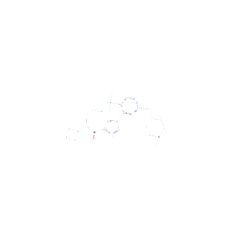 CC1(C)CCC(Nc2ncc(C(F)(F)F)c(-c3c[nH]c4c3CCCN(C3CCC3)C4=O)n2)CN1